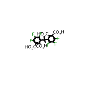 CC(C)(c1c(F)c(F)c(F)c(C(=O)O)c1C(=O)O)c1c(F)c(F)c(F)c(C(=O)O)c1C(=O)O